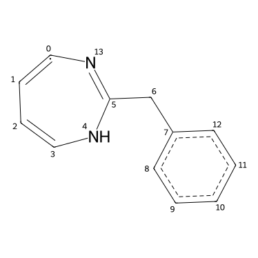 [C]1=CC=CNC(Cc2ccccc2)=N1